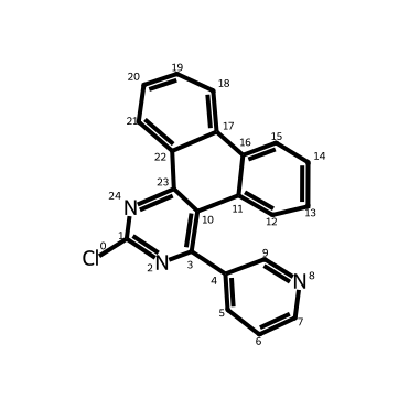 Clc1nc(-c2cccnc2)c2c3ccccc3c3ccccc3c2n1